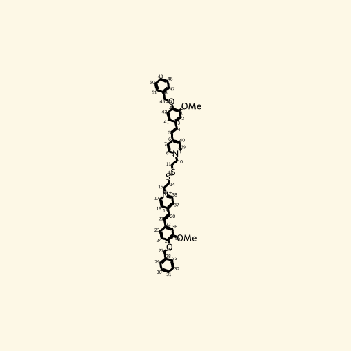 COc1cc(/C=C/c2cc[n+](CCSSCC[n+]3ccc(/C=C/c4ccc(OCc5ccccc5)c(OC)c4)cc3)cc2)ccc1OCc1ccccc1